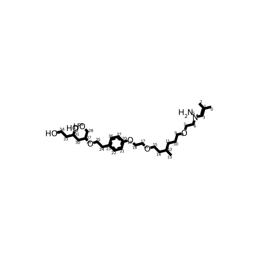 CC(C)=CN(N)CCOCCCC(C)CCOCCOc1ccc(CCOC(CO)CC(O)CCO)cc1